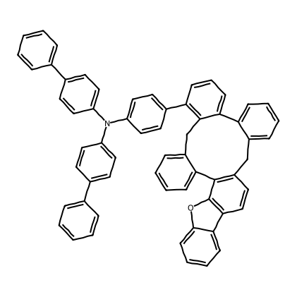 c1ccc(-c2ccc(N(c3ccc(-c4ccccc4)cc3)c3ccc(-c4cccc5c4Cc4ccccc4-c4c(ccc6c4oc4ccccc46)Cc4ccccc4-5)cc3)cc2)cc1